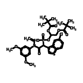 C=CN(C(=O)C(c1csc2ccc(Cl)cc12)P(=O)(O)OC(COC(=O)C(C)(C)C)OC(=O)C(C)(C)C)c1cc(OC)cc(OC)c1